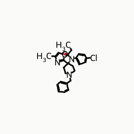 CCC(=O)N(c1ccc(Cl)cc1)C1(c2nc(C)cs2)CCN(Cc2ccccc2)CC1